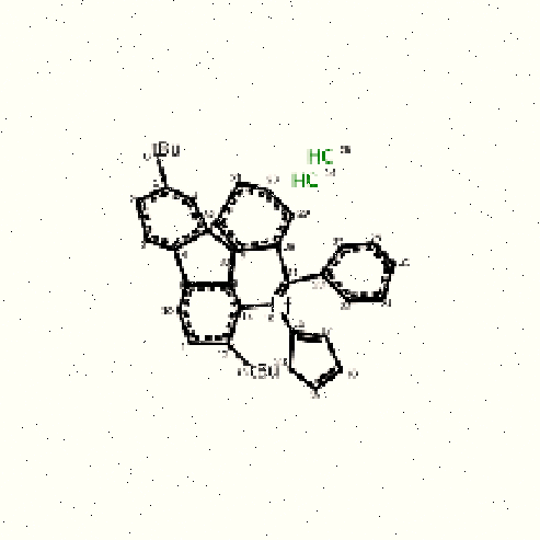 CC(C)(C)c1ccc2c(c1)Cc1c-2ccc(C(C)(C)C)[c]1[Hf]([C]1=CC=CC1)=[C](c1ccccc1)c1ccccc1.Cl.Cl